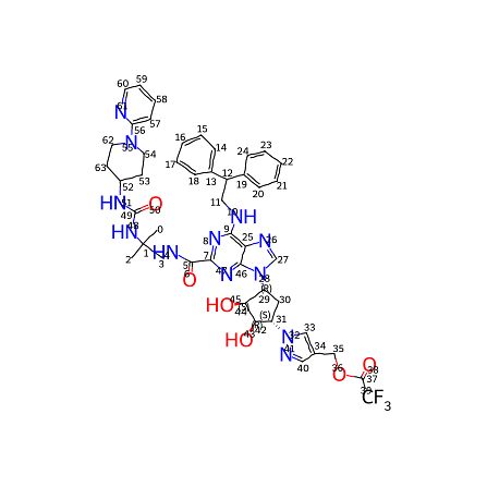 CC(C)(CNC(=O)c1nc(NCC(c2ccccc2)c2ccccc2)c2ncn([C@@H]3C[C@H](n4cc(COC(=O)C(F)(F)F)cn4)[C@@H](O)[C@H]3O)c2n1)NC(=O)NC1CCN(c2ccccn2)CC1